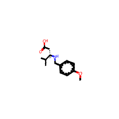 COc1ccc(CN[C@@H](CC(=O)O)C(C)C)cc1